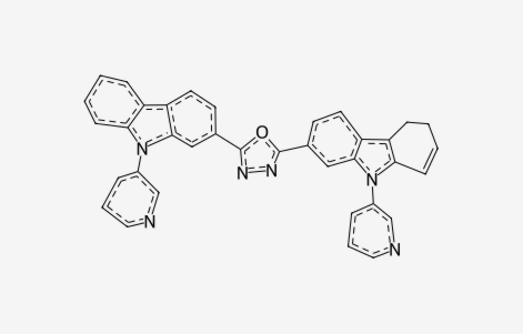 C1=Cc2c(c3ccc(-c4nnc(-c5ccc6c7ccccc7n(-c7cccnc7)c6c5)o4)cc3n2-c2cccnc2)CC1